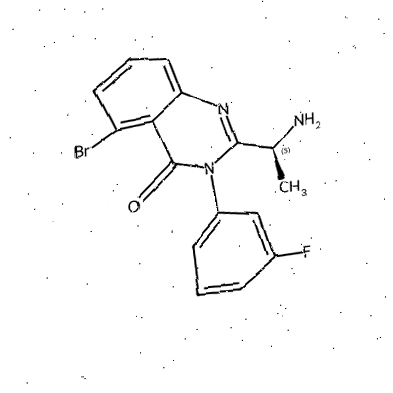 C[C@H](N)c1nc2cccc(Br)c2c(=O)n1-c1cccc(F)c1